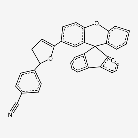 N#Cc1ccc(C2CC=C(c3ccc4c(c3)C3(c5ccccc5O4)c4ccccc4-c4ccccc43)O2)cc1